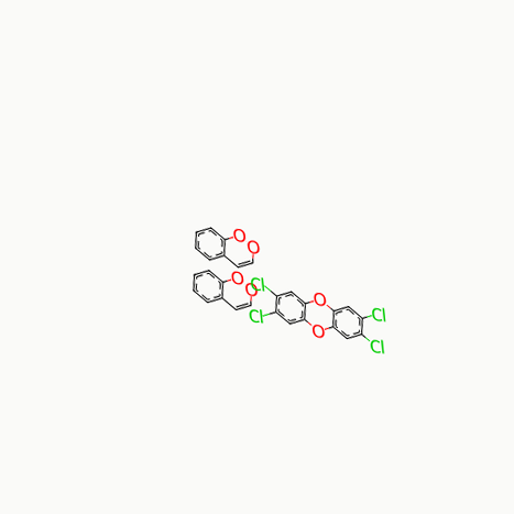 C1=Cc2ccccc2OO1.C1=Cc2ccccc2OO1.Clc1cc2c(cc1Cl)Oc1cc(Cl)c(Cl)cc1O2